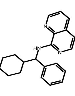 c1ccc(C(Nc2nccc3cccnc23)C2CCCCC2)cc1